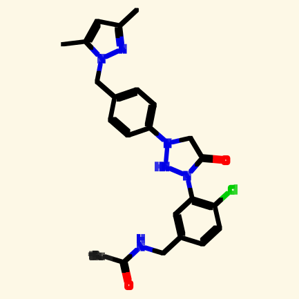 Cc1cc(C)n(Cc2ccc(N3CC(=O)N(c4cc(CNC(=O)C(C)(C)C)ccc4Cl)N3)cc2)n1